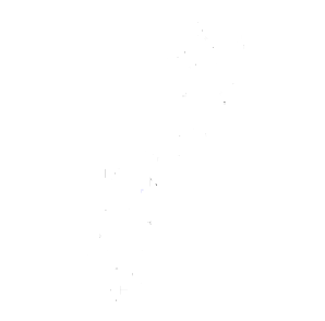 C/C(=N\OCCOc1ccc(C(=O)O)c(Cl)c1)c1ccc(C(C)(C)C)cc1